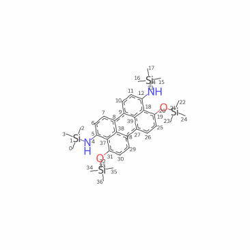 C[Si](C)(C)Nc1ccc2c3ccc(N[Si](C)(C)C)c4c(O[Si](C)(C)C)ccc(c5ccc(O[Si](C)(C)C)c1c25)c43